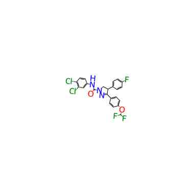 O=C(Nc1ccc(Cl)c(Cl)c1)N1CC(c2ccc(F)cc2)C(c2ccc(OC(F)F)cc2)=N1